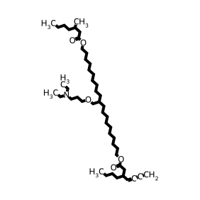 C=C=C=CC(CCCC)CC(=O)OCCCCCCCCCCC(CCCCCCCCCCOC(=O)CC(C)CCCC)COCCCN(CC)CC